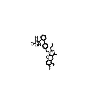 CCCc1nc(C)c(Cc2cccc(F)c2F)c(=O)n1Cc1ccc(-c2ccccc2-c2noc(=O)[nH]2)cc1